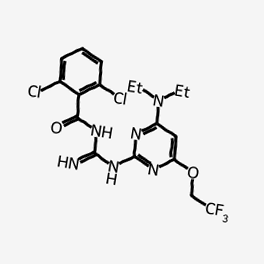 CCN(CC)c1cc(OCC(F)(F)F)nc(NC(=N)NC(=O)c2c(Cl)cccc2Cl)n1